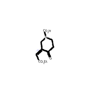 CCOC(=O)/C=C1/CN(C(=O)O)CCC1=O